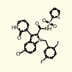 O=C(NS(=O)(=O)c1cccs1)c1c(-c2ccc[nH]c2=O)c2cc(Cl)ccc2n1Cc1cc(F)ccc1F